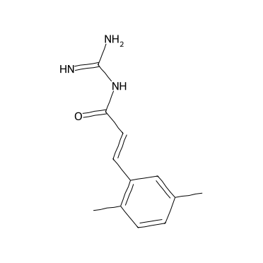 Cc1ccc(C)c(/C=C/C(=O)NC(=N)N)c1